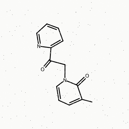 Cc1cccn(CC(=O)c2ccccn2)c1=O